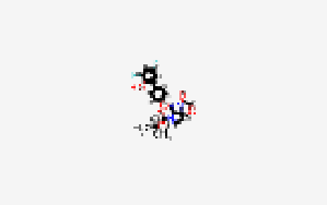 CC(C)(C)OC(=O)N1CCC2(COCC(=O)N2)C1COC1CC=C(c2cc(F)cc(F)c2O)CC1